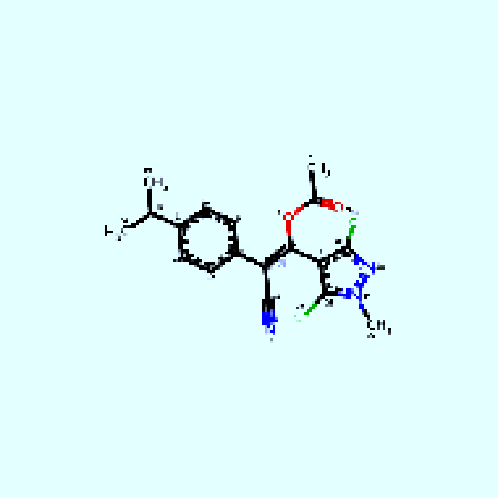 CC(=O)O/C(=C(/C#N)c1ccc(C(C)C)cc1)c1c(Cl)nn(C)c1Cl